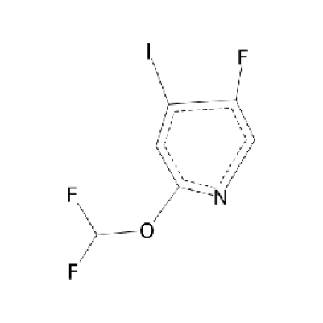 Fc1cnc(OC(F)F)cc1I